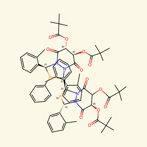 Cc1ccccc1[C@H]1N2C(=O)[C@H](OC(=O)C(C)(C)C)[C@@H](OC(=O)C(C)(C)C)C(=O)N2[C@H](c2ccccc2C)P1c1ccccc1[P@@]1[C@@H](c2ccccc2C)N2C(=O)C(OC(=O)C(C)(C)C)[C@@H](OC(=O)C(C)(C)C)C(=O)N2[C@@H]1c1ccccc1C